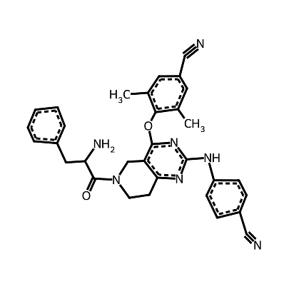 Cc1cc(C#N)cc(C)c1Oc1nc(Nc2ccc(C#N)cc2)nc2c1CN(C(=O)C(N)Cc1ccccc1)CC2